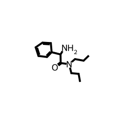 CCCN(CCC)C(=O)C(N)c1ccccc1